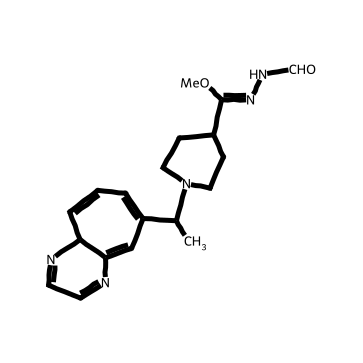 CO/C(=N\NC=O)C1CCN(C(C)C2=CC=CC3N=CC=NC3=C2)CC1